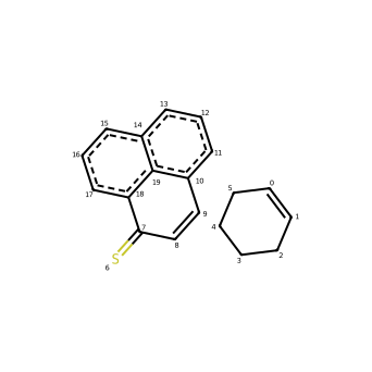 C1=CCCCC1.S=C1C=Cc2cccc3cccc1c23